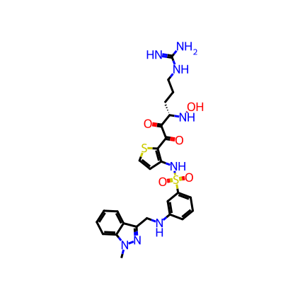 Cn1nc(CNc2cccc(S(=O)(=O)Nc3ccsc3C(=O)C(=O)[C@H](CCCNC(=N)N)NO)c2)c2ccccc21